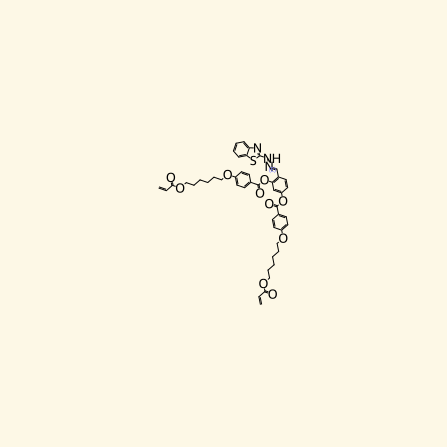 C=CC(=O)OCCCCCCOc1ccc(C(=O)Oc2ccc(/C=N/Nc3nc4ccccc4s3)c(OC(=O)c3ccc(OCCCCCCOC(=O)C=C)cc3)c2)cc1